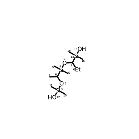 CCC(O[Si](C)(C)C(C)O[Si](C)(C)O)[Si](C)(C)O